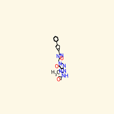 Cn1c(NC2COC2)nc2ncn(Cc3nc(C4C5C=C(c6ccccc6)CC54)no3)c(=O)c21